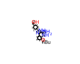 CCCCOc1cccc(-c2nc([C@H]3CC[C@H](CO)CC3)[nH]c2C(=N)N)c1